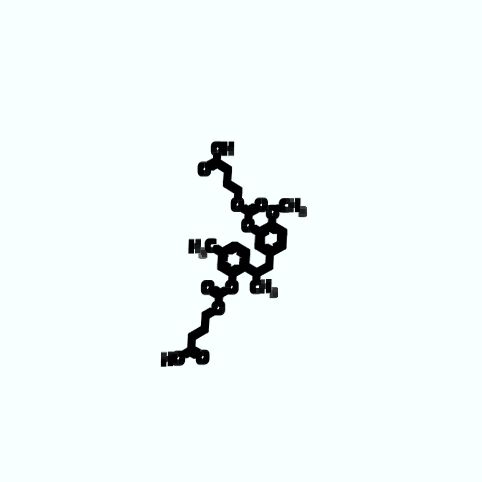 COc1ccc(CC(C)c2ccc(C)cc2OC(=O)OCCCC(=O)O)cc1OC(=O)OCCCC(=O)O